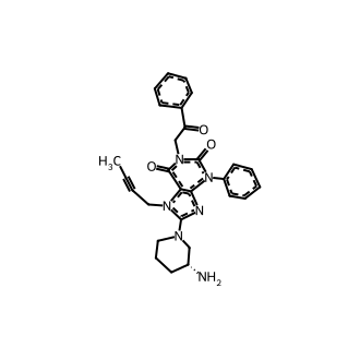 CC#CCn1c(N2CCC[C@@H](N)C2)nc2c1c(=O)n(CC(=O)c1ccccc1)c(=O)n2-c1ccccc1